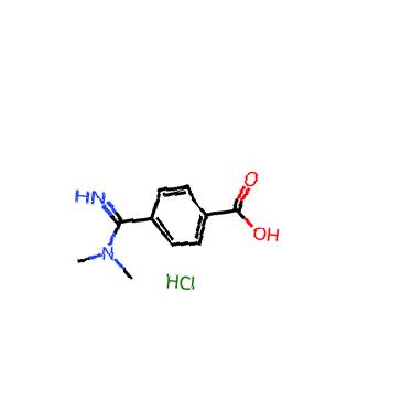 CN(C)C(=N)c1ccc(C(=O)O)cc1.Cl